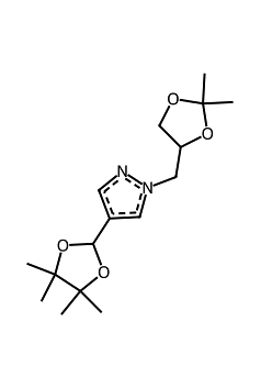 CC1(C)OCC(Cn2cc(C3OC(C)(C)C(C)(C)O3)cn2)O1